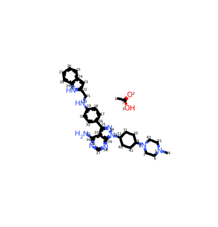 CC(=O)O.CN1CCN(C2CCC(n3nc(-c4ccc(NCc5cc6ccccc6[nH]5)cc4)c4c(N)ncnc43)CC2)CC1